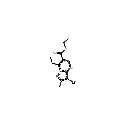 CCOC(=O)c1cnc2c(Br)c(C)nn2c1CC